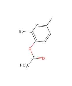 CCc1cc(C)ccc1OC(=O)C(=O)O